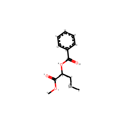 COC(=O)C(C[Se]C)OC(=O)c1ccccc1